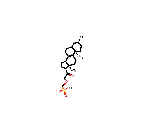 C[C@H]1CC[C@]2(C)C3=C(CCC2C1)C1CC[C@H](C(=O)COCP(=O)(O)O)[C@@]1(C)CC3